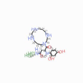 CC(=O)N(c1ccc(O)cc1O)[C@@H](CC(N)=O)C(=O)N1CCCNCCNCCCNCC1.Cl.Cl.Cl